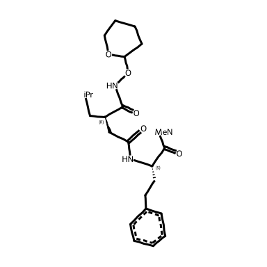 CNC(=O)[C@H](CCc1ccccc1)NC(=O)C[C@@H](CC(C)C)C(=O)NOC1CCCCO1